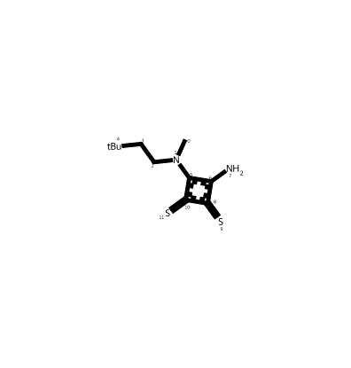 CN(CCC(C)(C)C)c1c(N)c(=S)c1=S